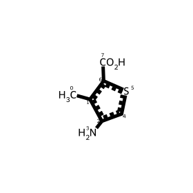 Cc1c(N)csc1C(=O)O